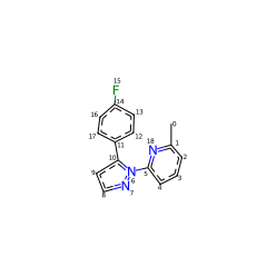 Cc1cccc(-n2nccc2-c2ccc(F)cc2)n1